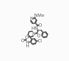 CNc1cc(C(=O)N[C@@H](Cc2ccccc2)C(=O)N2CCCC3(C2)OC(=O)Nc2ccc(Cl)cc23)ccn1